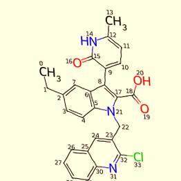 CCc1ccc2c(c1)c(-c1ccc(C)[nH]c1=O)c(C(=O)O)n2Cc1cc2ccccc2nc1Cl